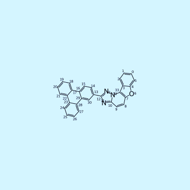 c1ccc2c(c1)oc1ccc3nc(-c4ccc5c6ccccc6c6ccccc6c5c4)nn3c12